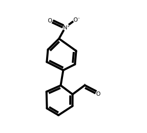 O=[C]c1ccccc1-c1ccc([N+](=O)[O-])cc1